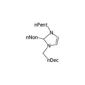 CCCCCCCCCCCN1C=CN(CCCCC)C1CCCCCCCCC